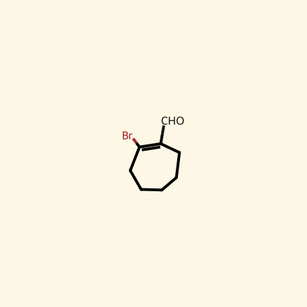 O=CC1=C(Br)CCCCC1